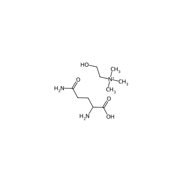 C[N+](C)(C)CCO.NC(=O)CCC(N)C(=O)O